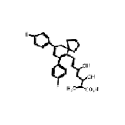 CC(C(=O)O)C(O)CC(O)C=CC1=C(c2ccc(F)cc2)C=C(c2ccc(F)cc2)CC12CCCC2